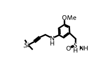 COc1cc(C[SH](=N)=O)cc(NCC#C[Si](C)(C)C)c1